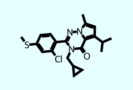 CSc1ccc(-c2nn3c(C)cc(C(C)C)c3c(=O)n2CC2CC2)c(Cl)c1